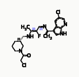 C=C(/N=C\C(F)=C(/C)NC[C@H]1CCCN(C(=O)CCl)C1)c1c[nH]c2ncc(Cl)cc12